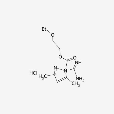 CCOCCOC(=O)[N+]1(C(=N)N)N=C(C)C=C1C.Cl